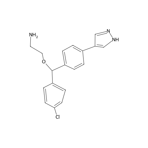 NCCOC(c1ccc(Cl)cc1)c1ccc(-c2cn[nH]c2)cc1